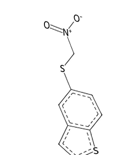 O=[N+]([O-])CSc1ccc2sccc2c1